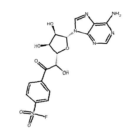 Nc1ncnc2c1ncn2[C@@H]1O[C@H](C(O)C(=O)c2ccc(S(=O)(=O)F)cc2)[C@@H](O)[C@H]1O